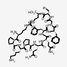 CSCC[C@H](NC(=O)[C@H](CC(C)C)NC(=O)CNC(=O)[C@H](Cc1ccccc1)NC(=O)[C@H](Cc1ccccc1)NC(=O)[C@H](CCC(N)=O)NC(=O)[C@H](CCC(N)=O)NC(=O)[C@@H]1CCCN1C(=O)[C@H](CCCCN)NC(=O)[C@@H]1CCCN1C(=O)[C@@H](N)CCCNC(=N)N)C(=O)O